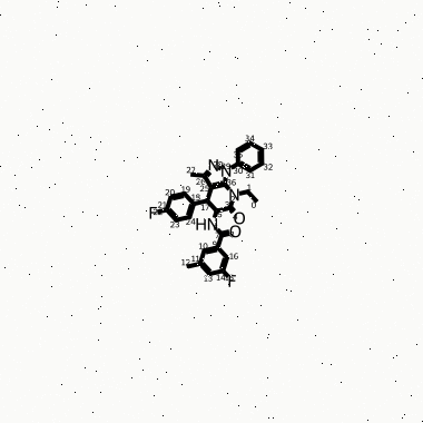 CCN1C(=O)C(NC(=O)c2cc(C)cc(F)c2)C(c2ccc(F)cc2)c2c(C)nn(-c3ccccc3)c21